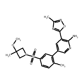 COC1(C)CN(S(=O)(=O)c2ccc(C)c(-c3cnc(N)c(-c4nc(C)no4)c3)c2)C1